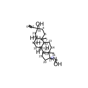 C#C[C@]1(O)CC[C@@]2(C)[C@@H](CC[C@@H]3[C@@H]2CC[C@]2(C)/C(=N/O)CC[C@@H]32)C1